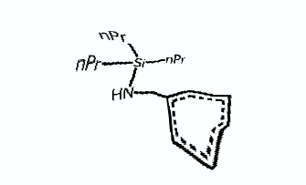 CCC[Si](CCC)(CCC)Nc1ccccc1